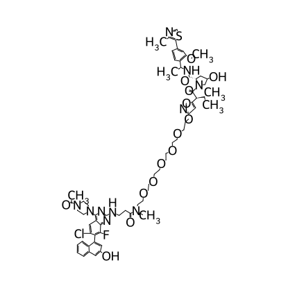 COc1cc(-c2scnc2C)ccc1[C@H](C)NC(=O)[C@@H]1C[C@@H](O)CN1C(=O)[C@H](c1cc(OCCOCCOCCOCCOCCOCCN(C)C(=O)CCNc2nc(N3CCN(C(C)=O)CC3)c3cc(Cl)c(-c4cc(O)cc5ccccc45)c(F)c3n2)no1)C(C)C